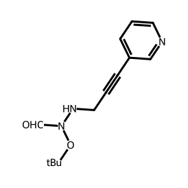 CC(C)(C)ON(C=O)NCC#Cc1cccnc1